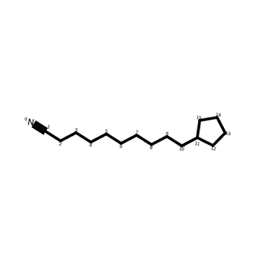 N#CCCCCCCCC[CH]C1CCCC1